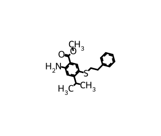 COC(=O)c1cc(SCCc2ccccc2)c(C(C)C)cc1N